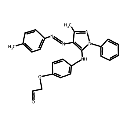 Cc1ccc(N=Nc2c(C)nn(-c3ccccc3)c2Nc2ccc(OCC=O)cc2)cc1